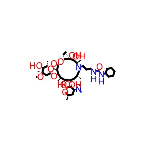 CC[C@H]1OC(=O)[C@H](C)[C@@H](O[C@H]2C[C@@](C)(OC)[C@@H](O)[C@H](C)O2)[C@H](C)[C@@H](O[C@@H]2O[C@H](C)C[C@H](N(C)C)[C@H]2O)[C@](C)(O)C[C@@H](C)CN(CCCNC(=O)NC2CCCCC2)[C@H](C)[C@@H](O)[C@]1(C)O